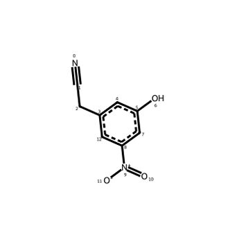 N#CCc1cc(O)cc([N+](=O)[O-])c1